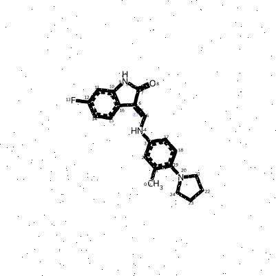 Cc1cc(N/C=C2/C(=O)Nc3cc(F)ccc32)ccc1N1CCCC1